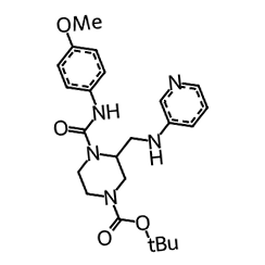 COc1ccc(NC(=O)N2CCN(C(=O)OC(C)(C)C)CC2CNc2cccnc2)cc1